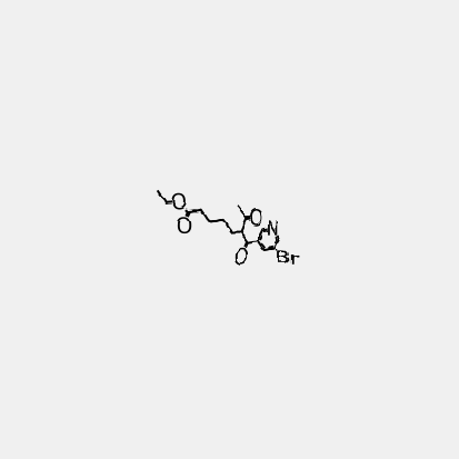 CCOC(=O)CCCCC(C(C)=O)C(=O)c1cncc(Br)c1